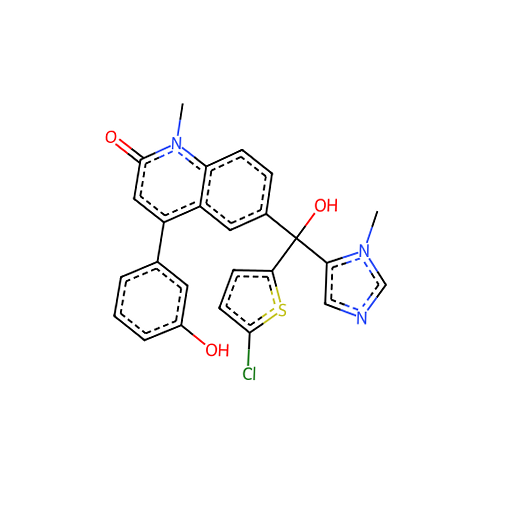 Cn1cncc1C(O)(c1ccc2c(c1)c(-c1cccc(O)c1)cc(=O)n2C)c1ccc(Cl)s1